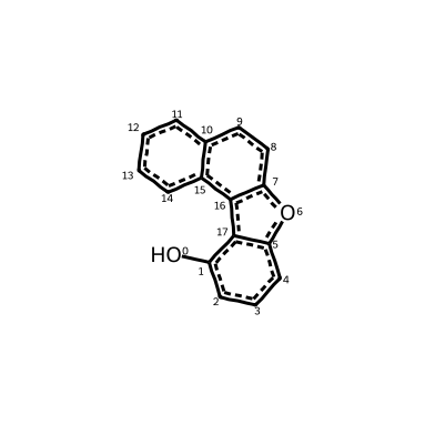 Oc1cccc2oc3ccc4ccccc4c3c12